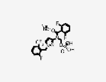 O=C(c1c(F)cccc1F)N(COP(=O)(O)O)c1ccn(Cc2c(F)cccc2C(F)(F)F)n1.[Na].[Na]